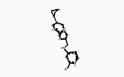 Brc1cc(NCc2cn3cc(C4CC4)cnc3n2)ccn1